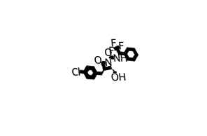 O=C(N[C@@H](C1CCCCC1)C(F)(F)F)N1C(=O)[C@H](Cc2ccc(Cl)cc2)[C@H]1CO